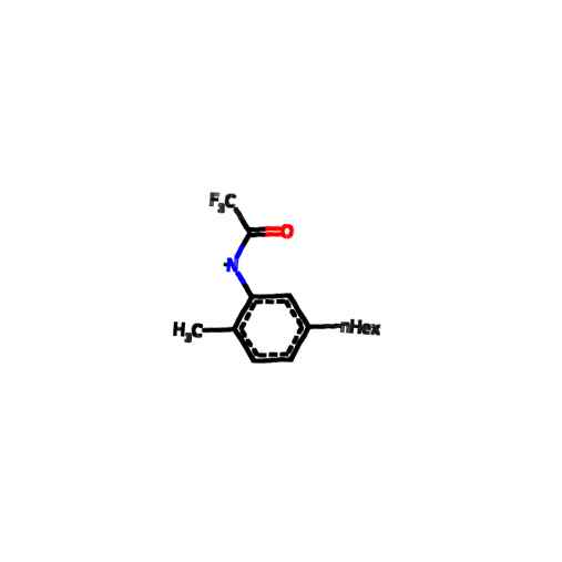 CCCCCCc1ccc(C)c([N]C(=O)C(F)(F)F)c1